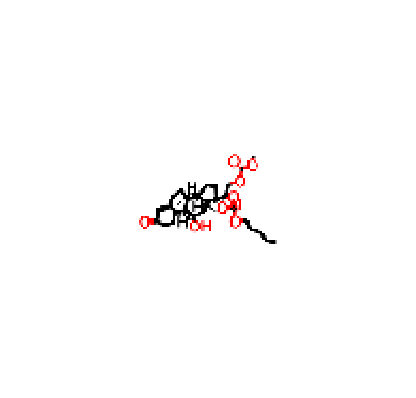 CCCCCOC(=O)O[C@]1(C(=O)COC(=O)OC)CC[C@H]2[C@@H]3CCC4=CC(=O)CC[C@]4(C)[C@H]3[C@@H](O)C[C@@]21C